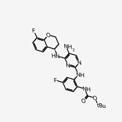 CC(C)(C)OC(=O)Nc1ccc(F)cc1Nc1ncc(N)c(N[C@@H]2CCOc3c(F)cccc32)n1